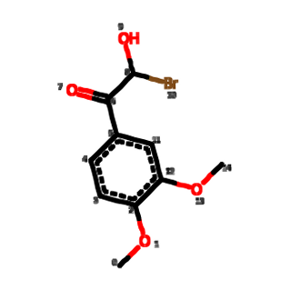 COc1ccc(C(=O)C(O)Br)cc1OC